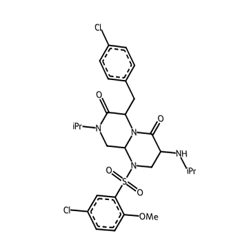 COc1ccc(Cl)cc1S(=O)(=O)N1CC(NC(C)C)C(=O)N2C(Cc3ccc(Cl)cc3)C(=O)N(C(C)C)CC21